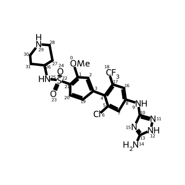 COc1cc(-c2c(Cl)cc(Nc3n[nH]c(N)n3)cc2C(F)(F)F)ccc1S(=O)(=O)NC1CCNCC1